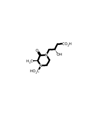 C[C@H]1C(=O)N(C[C@@H](O)CC(=O)O)CCN1C(=O)O